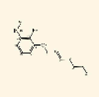 CCCCC=CCOc1cccc(NC)c1F